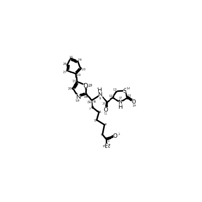 CCC(=O)CCCCC[C@H](NC(=O)C1CSC(=O)N1)c1ncc(-c2ccccc2)o1